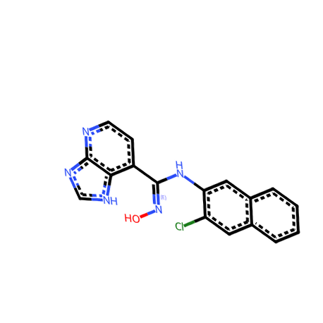 O/N=C(/Nc1cc2ccccc2cc1Cl)c1ccnc2nc[nH]c12